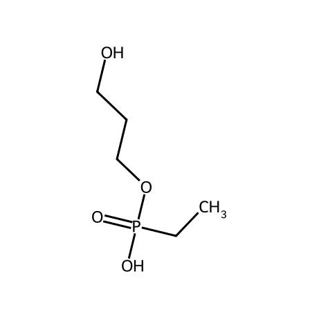 CCP(=O)(O)OCCCO